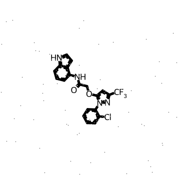 O=C(COc1cc(C(F)(F)F)nn1-c1ccccc1Cl)Nc1cccc2[nH]ccc12